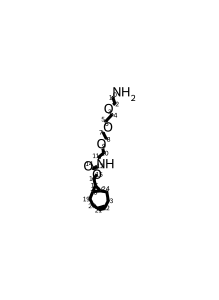 NCCOCCOCCOCCNC(=O)OCC1C2CCC#CCCC21